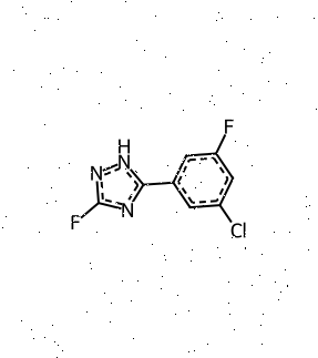 Fc1cc(Cl)cc(-c2nc(F)n[nH]2)c1